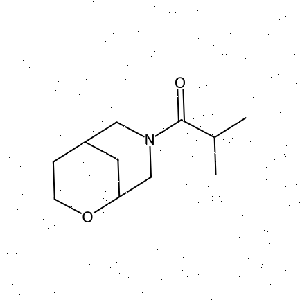 CC(C)C(=O)N1CC2CCOC(C2)C1